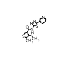 CCc1c(C(=O)Nc2nnc(-c3cccnc3)s2)csc1C